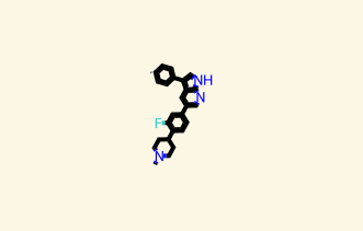 CN1CCC(c2ccc(-c3cnc4[nH]cc(-c5cc[c]cc5)c4c3)cc2F)CC1